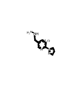 NNCc1ccc(-n2cccn2)nc1.O